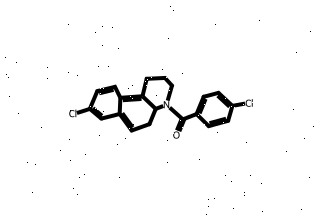 O=C(c1ccc(Cl)cc1)N1CCCC2=c3ccc(Cl)cc3=CCC21